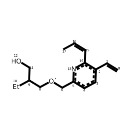 C=Cc1ccc(COCC(CC)CO)nc1/C=C\C